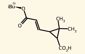 CC[C@H](C)OC(=O)C=CC1C(C(=O)O)C1(C)C